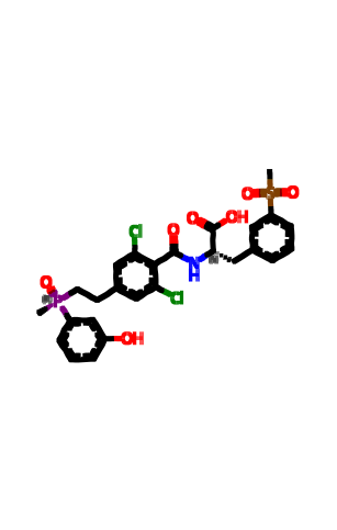 C[P@@](=O)(CCc1cc(Cl)c(C(=O)N[C@@H](Cc2cccc(S(C)(=O)=O)c2)C(=O)O)c(Cl)c1)c1cccc(O)c1